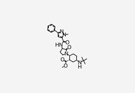 COC(=O)[C@@H]1C[C@H](NC(C)(C)C)CC[C@@H]1N1CCC(NC(=O)c2cc(-c3ccccc3)nn2C)C1=O